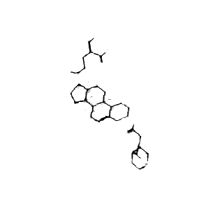 CCC(CCC(C)[C@H]1CC[C@H]2[C@@H]3CC=C4C[C@@H](OC(=O)CC5CN6CCC5CC6)CC[C@]4(C)[C@H]3CC[C@]12C)C(C)C